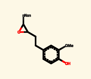 CCCCCCCCCC1OC1CCc1ccc(O)c(OC)c1